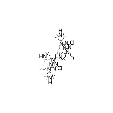 CCCCN(c1nc(Cl)nc(N(CCCCCCN(c2nc(Cl)nc(N(CCCC)C3CC(C)(C)NC(C)(C)C3)n2)C2CC(C)(C)NC(C)(C)C2)C2CC(C)(C)NC(C)(C)C2)n1)C1CC(C)(C)NC(C)(C)C1